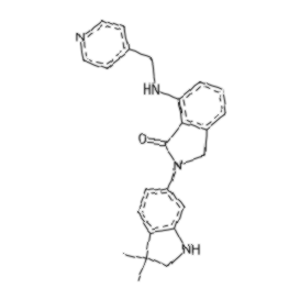 CC1(C)CNc2cc(N3Cc4cccc(NCc5ccncc5)c4C3=O)ccc21